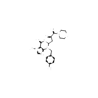 CCn1cnc2c1C(=O)N1N=C(C(=O)N3CCOCC3)CC1N2Cc1ccc(Cl)cc1